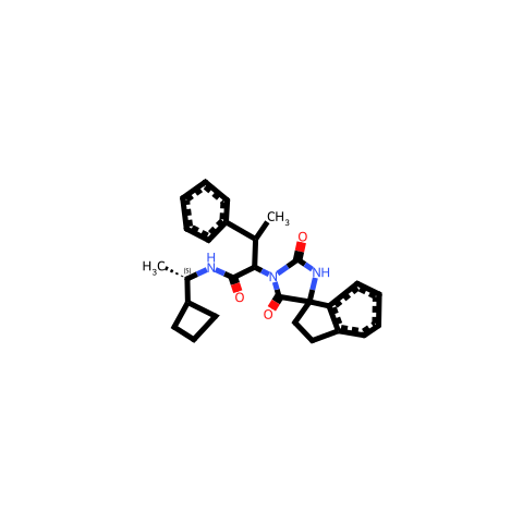 CC(c1ccccc1)C(C(=O)N[C@@H](C)C1CCC1)N1C(=O)NC2(CCc3ccccc32)C1=O